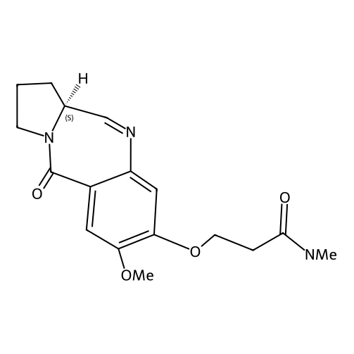 CNC(=O)CCOc1cc2c(cc1OC)C(=O)N1CCC[C@H]1C=N2